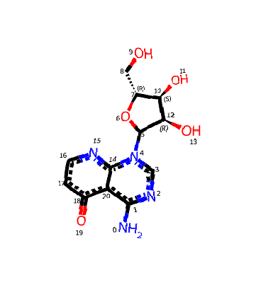 Nc1ncn(C2O[C@H](CO)[C@@H](O)[C@H]2O)c2nccc(=O)c1-2